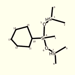 C[SiH](C)O[Si](C)(O[SiH](C)C)C1CCCCC1